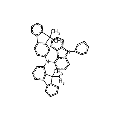 CC1(C)c2ccccc2-c2ccc(N(c3cccc4c3C(C)(C)c3ccccc3-4)c3cccc4c3c3ccccc3n4-c3ccccc3)cc21